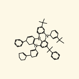 CC(C)(C)C1=CC(N2c3cc(C(C)(C)C)ccc3B3C4=C(CC(c5ccccc5)C=C4)N(C4=CC(C5=CCCCC5)CC=C4)c4cc(C(C)(C)c5ccccc5)cc2c43)CC=C1